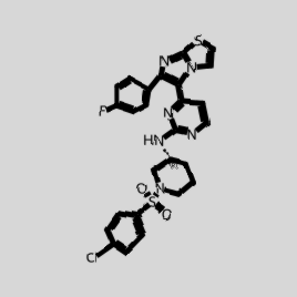 O=S(=O)(c1ccc(Cl)cc1)N1CCC[C@@H](Nc2nccc(-c3c(-c4ccc(F)cc4)nc4sccn34)n2)C1